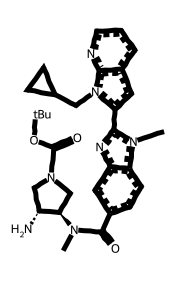 CN(C(=O)c1ccc2c(c1)nc(-c1cc3cccnc3n1CC1CC1)n2C)[C@@H]1CN(C(=O)OC(C)(C)C)C[C@H]1N